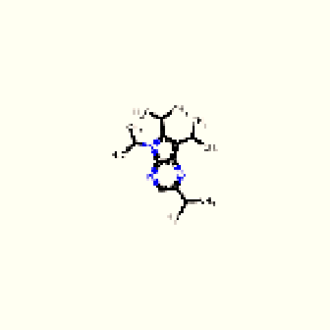 CC(C)c1cnc2c(n1)c(C(C)C)c(C(C)C)n2C(C)C